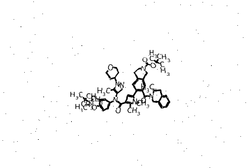 Cc1c(N(C(=O)c2cc(-c3cc4c(cc3C(=O)N3Cc5ccccc5C[C@H]3C)CN(C(=O)OC(C)(C)C)CC4)n(C)c2C)c2ccc(O[Si](C)(C)C(C)(C)C)cc2)cnn1C1CCOCC1